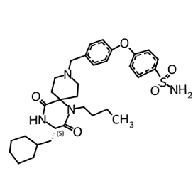 CCCCN1C(=O)[C@H](CC2CCCCC2)NC(=O)C12CCN(Cc1ccc(Oc3ccc(S(N)(=O)=O)cc3)cc1)CC2